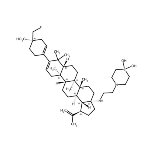 C=C(C)[C@@H]1CC[C@]2(NCCN3CCS(O)(O)CC3)CC[C@]3(C)[C@H](CC[C@@H]4[C@@]5(C)CC=C(C6=CC[C@@](CF)(C(=O)O)CC6)C(C)(C)[C@@H]5CC[C@]43C)[C@@H]12